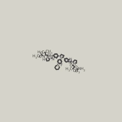 COC(=O)N[C@H](C(=O)N1CCC[C@H]1c1nc2cc([C@H]3CC[C@H](c4ccc5[nH]c([C@@H]6CCCN6C(=O)C(OC(N)=O)C(C)C)nc5c4)N3c3ccc(N4CCCCC4)c(F)c3)ccc2[nH]1)C(C)C